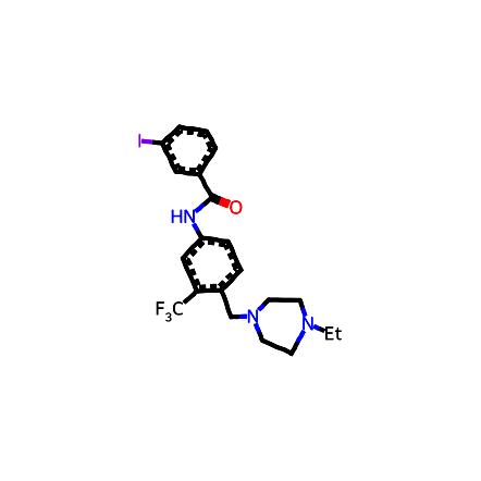 CCN1CCN(Cc2ccc(NC(=O)c3cccc(I)c3)cc2C(F)(F)F)CC1